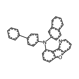 c1ccc(-c2ccc(N(c3ccc4ccccc4c3)c3cccc4oc5cccnc5c34)cc2)cc1